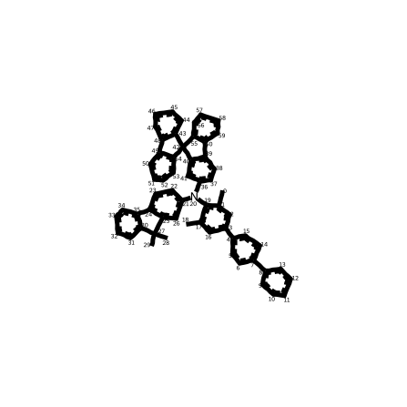 Cc1cc(-c2ccc(-c3ccccc3)cc2)cc(C)c1N(c1ccc2c(c1)C(C)(C)c1ccccc1-2)c1ccc2c(c1)C1(c3ccccc3-c3ccccc31)c1ccccc1-2